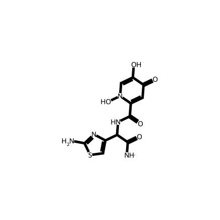 [NH]C(=O)C(NC(=O)c1cc(=O)c(O)cn1O)c1csc(N)n1